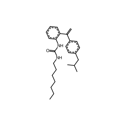 C=C(c1ccc(CC(C)C)cc1)c1ccccc1NC(=O)NCCCCCCC